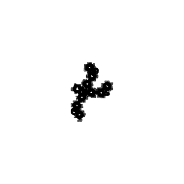 c1ccc2c(c1)-c1cc(-c3ccc4oc5ccccc5c4c3)ccc1B1c3ccc(-c4ccc5sc6ccccc6c5c4)cc3-c3cc(-c4ccc5oc6ccccc6c5c4)ccc3N12